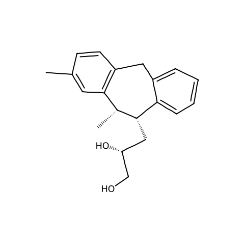 Cc1ccc2c(c1)[C@@H](C)[C@@H](C[C@@H](O)CO)c1ccccc1C2